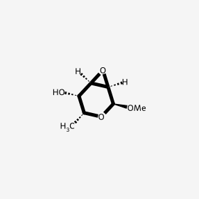 CO[C@H]1O[C@H](C)[C@H](O)[C@H]2O[C@@H]12